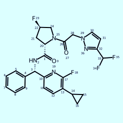 O=C(N[C@@H](c1ccccc1)c1ccc(C2CC2)c(F)n1)[C@@H]1C[C@@H](F)CN1C(=O)Cn1ccc(C(F)F)n1